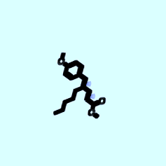 CCCCCC(/C=C/C(=O)OC)=C\c1ccc(OC)cc1